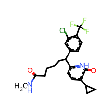 CNC(=O)CCCCC(c1ccc(C(F)(F)F)c(Cl)c1)c1ccc(C2CC2)c(=O)[nH]1